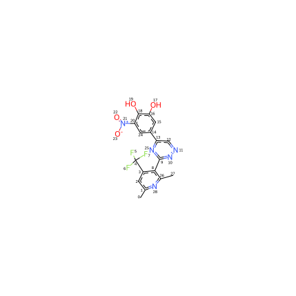 Cc1cc(C(F)(F)F)c(-c2nncc(-c3cc(O)c(O)c([N+](=O)[O-])c3)n2)c(C)n1